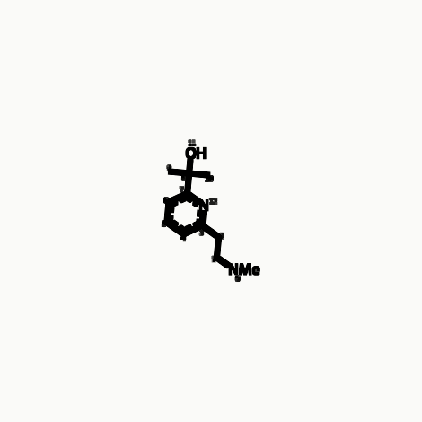 CNCCc1cccc(C(C)(C)O)n1